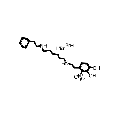 Br.Br.O=[N+]([O-])c1c(CCNCCCCCCNCCc2ccccc2)ccc(O)c1O